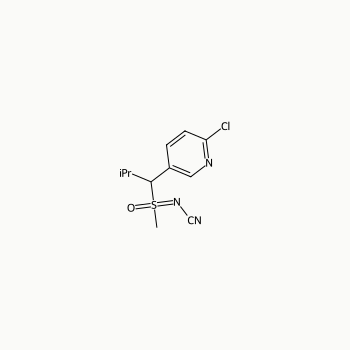 CC(C)C(c1ccc(Cl)nc1)S(C)(=O)=NC#N